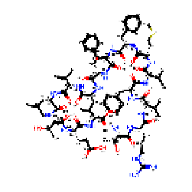 CSCC[C@H](NC(=O)[C@@H](NC(=O)[C@H](Cc1ccccc1)NC(=O)[C@@H](NC(=O)[C@H](CCCNC(=N)N)NC(=O)[C@@H](N)[C@@H](C)O)C(C)C)C(C)C)C(=O)N[C@@H](Cc1ccccc1)C(=O)N[C@@H](Cc1ccccc1)C(=O)N[C@@H](CC(C)C)C(=O)N[C@@H](CC(C)C)C(=O)N[C@H](C(=O)N[C@@H](CC(C)C)C(=O)N[C@H](C(=O)N[C@@H](CCC(=O)O)C(=O)NCC(=O)O)[C@@H](C)O)C(C)C